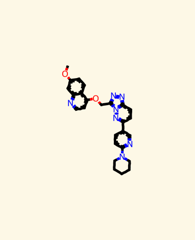 COc1ccc2c(OCc3nnc4ccc(-c5ccc(N6CCCCC6)nc5)nn34)ccnc2c1